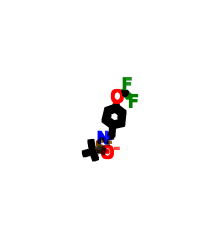 CC(C)(C)[S@+]([O-])N=Cc1ccc(OC(F)F)cc1